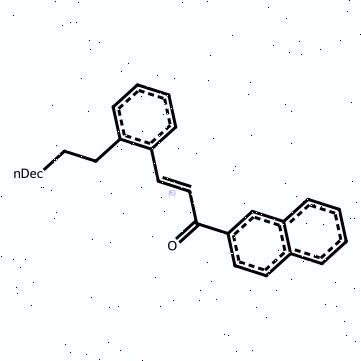 CCCCCCCCCCCCc1ccccc1/C=C/C(=O)c1ccc2ccccc2c1